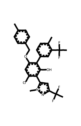 Cc1ccc(COc2cc(Cl)c(-c3cc(C(C)(F)F)nn3C)c(O)c2-c2ccc(C)c(C(C)(F)F)c2)cc1